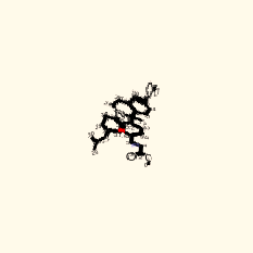 COC(=O)/C=C/c1ccc(C2(C)c3ccc(OC)cc3CCN2c2ccc(CC(C)C)cc2)cc1